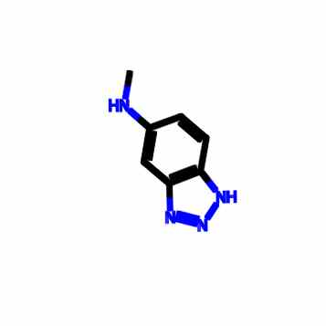 CNc1ccc2[nH]nnc2c1